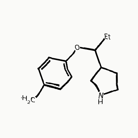 [CH2]c1ccc(OC(CC)C2CCNC2)cc1